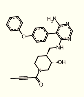 CC#CC(=O)N1CC[C@@H](CNc2ncnc(N)c2-c2ccc(Oc3ccccc3)cc2)[C@H](O)C1